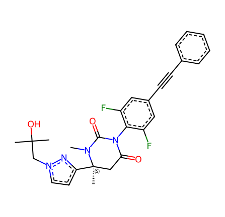 CN1C(=O)N(c2c(F)cc(C#Cc3ccccc3)cc2F)C(=O)C[C@@]1(C)c1ccn(CC(C)(C)O)n1